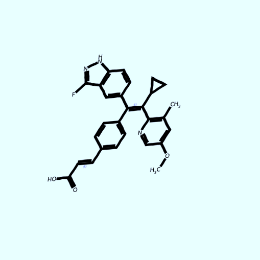 COc1cnc(/C(=C(\c2ccc(/C=C/C(=O)O)cc2)c2ccc3[nH]nc(F)c3c2)C2CC2)c(C)c1